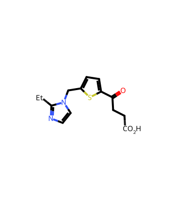 CCc1nccn1Cc1ccc(C(=O)CCC(=O)O)s1